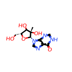 C[C@]1(O)C(O)[C@@H](CO)O[C@H]1n1cnc2c(=O)[nH]cnc21